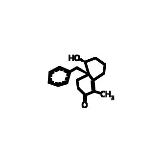 CC1=C2CCC[C@H](O)[C@@]2(Cc2ccccc2)CCC1=O